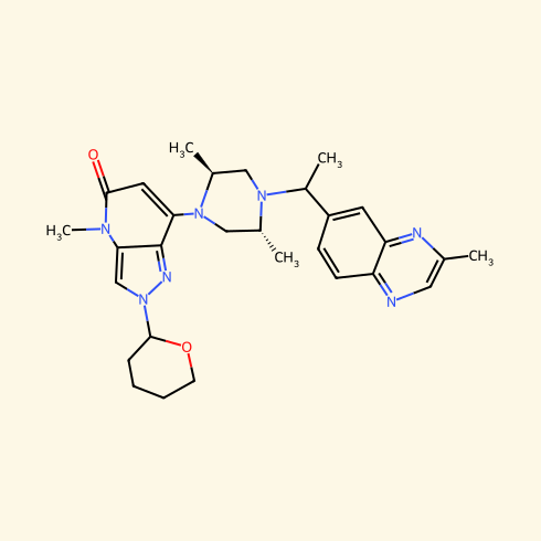 Cc1cnc2ccc(C(C)N3C[C@H](C)N(c4cc(=O)n(C)c5cn(C6CCCCO6)nc45)C[C@H]3C)cc2n1